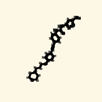 CC(C)(C)c1cc(NC(=O)Nc2ccc(C#Cc3ccc(OCCCN4CCOCC4)cc3)cc2)no1